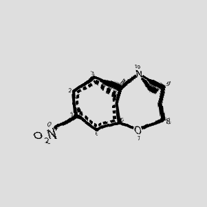 O=[N+]([O-])c1ccc2c(c1)OCC=N2